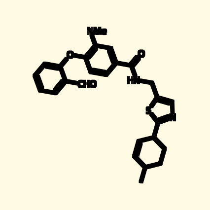 CNc1cc(C(=O)NCc2cnc(C3C=CC(C)CC3)s2)ccc1Oc1ccccc1C=O